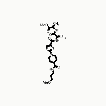 C=C(NC(=O)c1csc(N2CCC(C(=O)NCCCOC)CC2)n1)C(=O)NC(=C)C(=O)OC